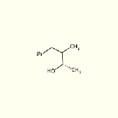 CC(C)CC(C)[C@H](C)O